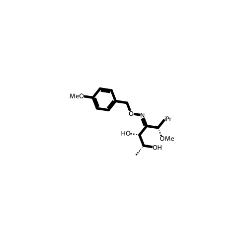 COc1ccc(CO/N=C(/[C@@H](OC)C(C)C)[C@@H](O)[C@@H](C)O)cc1